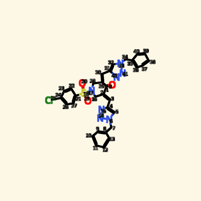 O=C1C(=Cc2cn(Cc3ccccc3)nn2)CN(S(=O)(=O)c2ccc(Cl)cc2)CC1=Cc1cn(Cc2ccccc2)nn1